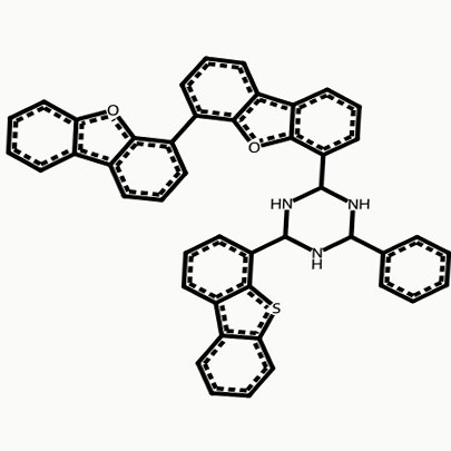 c1ccc(C2NC(c3cccc4c3oc3c(-c5cccc6c5oc5ccccc56)cccc34)NC(c3cccc4c3sc3ccccc34)N2)cc1